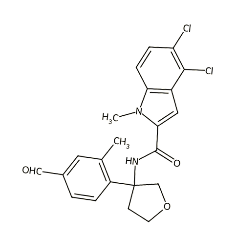 Cc1cc(C=O)ccc1C1(NC(=O)c2cc3c(Cl)c(Cl)ccc3n2C)CCOC1